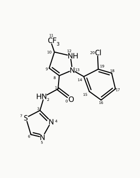 O=C(Nc1nncs1)C1=CC(C(F)(F)F)NN1c1ccccc1Cl